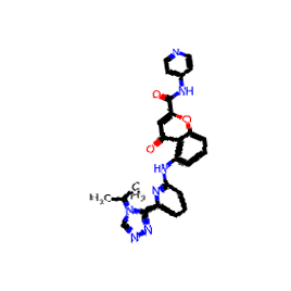 CC(C)n1cnnc1-c1cccc(Nc2cccc3oc(C(=O)Nc4ccncc4)cc(=O)c23)n1